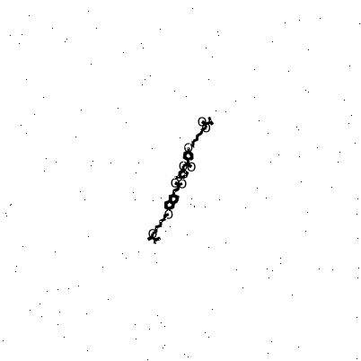 C=C(C)C(=C)OCCCCCCOc1ccc2cc(/C=C/C(=O)Oc3ccc(OC(=O)c4ccc(OCCCCCCOC(=O)C(=C)C)cc4)cc3C)ccc2c1